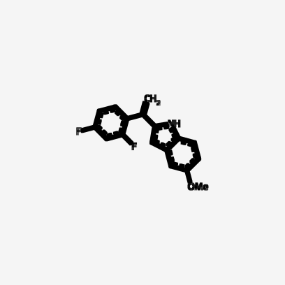 C=C(c1cc2cc(OC)ccc2[nH]1)c1ccc(F)cc1F